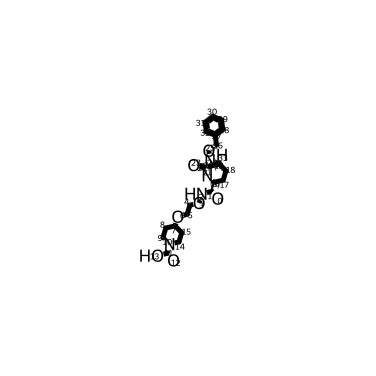 O=C(NOCCOC1CCN(C(=O)O)CC1)[C@@H]1CC[C@@H]2CN1C(=O)N2OCc1ccccc1